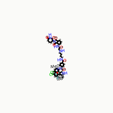 COc1cc(C(=O)NCCCCNCC(=O)Nc2cccc3c2C(=O)N(C2CCCC(=O)NC2=O)C3=O)ccc1NC(=O)[C@@H]1N[C@@H](CC(C)(C)C)[C@](C#N)(c2ccc(Cl)cc2F)[C@H]1c1cccc(Cl)c1F